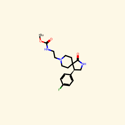 CC(C)(C)OC(=O)NCCN1CCC2(CC1)C(=O)NC[C@H]2c1ccc(F)cc1